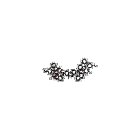 C=Cc1ccc(C2(c3cc(C)ccc3C)c3ccccc3-c3ccc(N(c4ccc(-c5ccc(N(c6ccc7c(c6)C(c6ccc(C=C)cc6)(c6cc(C)ccc6C)c6ccccc6-7)c6cccc7ccccc67)cc5F)c(F)c4)c4cccc5ccccc45)cc32)cc1